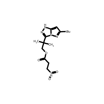 CC(C)(C)c1cc2[nH]nc(C(C)(C)COC(=O)CC[SH](=O)=O)n2n1